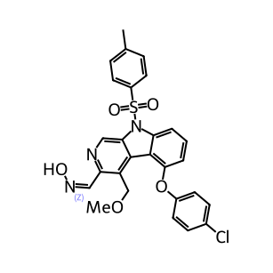 COCc1c(/C=N\O)ncc2c1c1c(Oc3ccc(Cl)cc3)cccc1n2S(=O)(=O)c1ccc(C)cc1